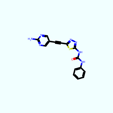 Nc1ncc(C#Cc2nnc(NC(=O)Nc3ccccc3)s2)cn1